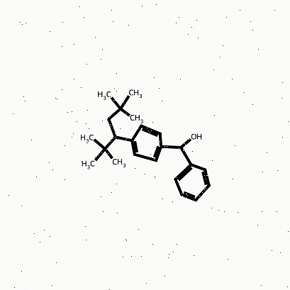 CC(C)(C)CC(c1ccc(C(O)c2ccccc2)cc1)C(C)(C)C